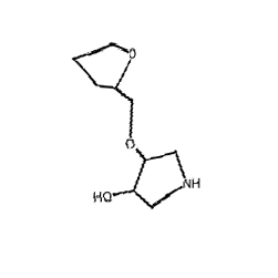 OC1CNCC1OCC1CCCO1